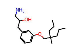 CCCC(C)(CCC)COc1cccc(CC(O)CN)c1